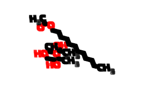 CCCCCCCCCCCCOC(C)=O.CCO.CCOCC.OCCO